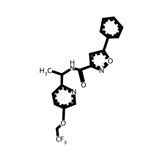 CC(NC(=O)c1cc(-c2ccccc2)on1)c1ccc(OCC(F)(F)F)cn1